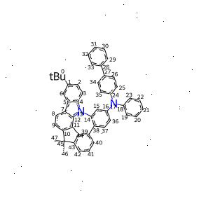 CC(C)(C)c1ccc2c(c1)c1ccc3c4c1n2-c1cc(N(c2ccccc2)c2ccc(-c5ccccc5)cc2)ccc1-c1cccc(c1-4)C3(C)C